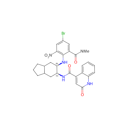 CNC(=O)c1cc(Br)cc([N+](=O)[O-])c1N[C@@H]1CC2CCCC2C[C@@H]1NC(=O)c1cc(=O)[nH]c2ccccc12